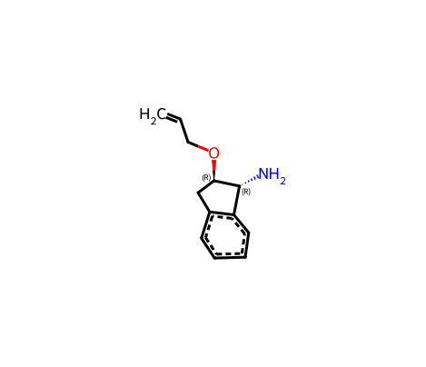 C=CCO[C@@H]1Cc2ccccc2[C@H]1N